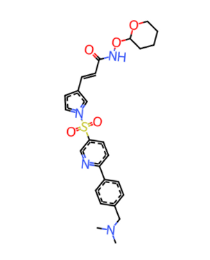 CN(C)Cc1ccc(-c2ccc(S(=O)(=O)n3ccc(C=CC(=O)NOC4CCCCO4)c3)cn2)cc1